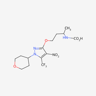 CC(CCOc1nn(C2CCOCC2)c(C(F)(F)F)c1[N+](=O)[O-])NC(=O)O